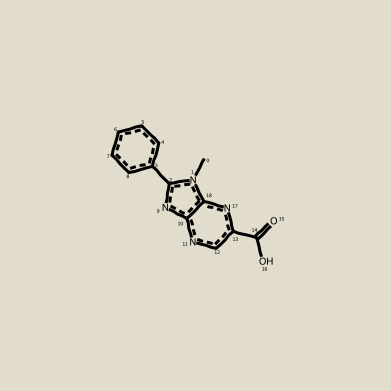 Cn1c(-c2ccccc2)nc2ncc(C(=O)O)nc21